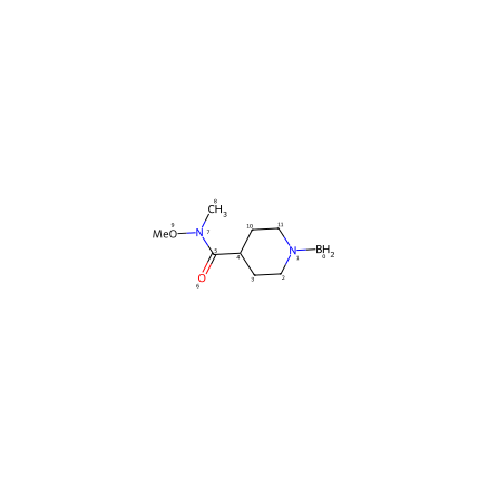 BN1CCC(C(=O)N(C)OC)CC1